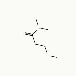 COCCC(=N)N(C)C